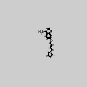 Nc1ncnc2cc(OCC=CCN3CCCC3)ccc12